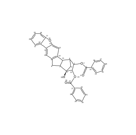 O=C(OC1C2C[C@@H](C3Cc4cc5c(cc4C23)oc2ccccc25)C1OC(=O)c1ccccc1)c1ccccc1